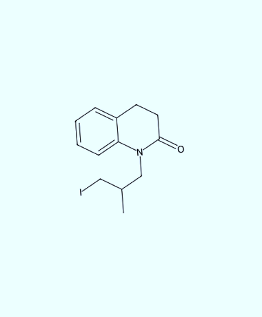 CC(CI)CN1C(=O)CCc2ccccc21